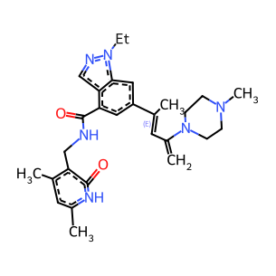 C=C(/C=C(\C)c1cc(C(=O)NCc2c(C)cc(C)[nH]c2=O)c2cnn(CC)c2c1)N1CCN(C)CC1